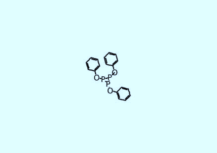 c1ccc(Op2p(Oc3ccccc3)p2Oc2ccccc2)cc1